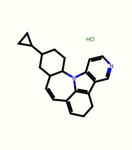 C1=CC2CC(C3CC3)CCC2n2c3c(c4cnccc42)CCC=C13.Cl